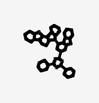 c1ccc(-c2nc(-c3ccccc3)nc(-c3cc(-n4c5ccccc5c5c6oc7ccccc7c6ccc54)c4c(c3)oc3ccccc34)n2)cc1